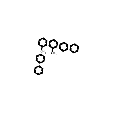 Cc1ccccc1.Cc1ccccc1.c1ccccc1.c1ccccc1.c1ccccc1.c1ccccc1